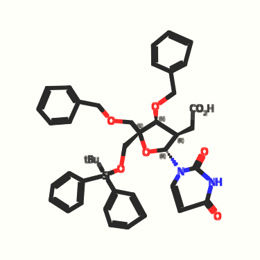 CC(C)(C)[Si](OC[C@]1(COCc2ccccc2)O[C@@H](n2ccc(=O)[nH]c2=O)[C@H](CC(=O)O)[C@@H]1OCc1ccccc1)(c1ccccc1)c1ccccc1